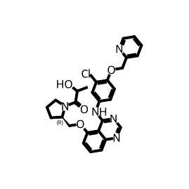 CC(O)C(=O)N1CCC[C@@H]1COc1cccc2ncnc(Nc3ccc(OCc4ccccn4)c(Cl)c3)c12